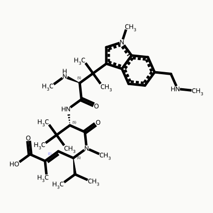 CNCc1ccc2c(C(C)(C)[C@H](NC)C(=O)N[C@H](C(=O)N(C)[C@H](/C=C(\C)C(=O)O)C(C)C)C(C)(C)C)cn(C)c2c1